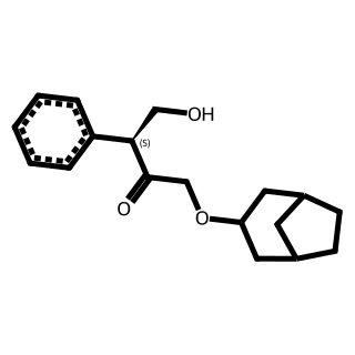 O=C(COC1CC2CCC(C2)C1)[C@H](CO)c1ccccc1